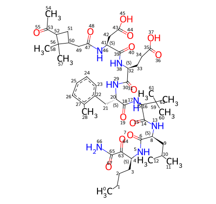 CCCC[C@H](NC(=O)[C@H](CC(C)C)NC(=O)[C@@H](NC(=O)[C@H](Cc1ccccc1C)NC(=O)[C@H](CCC(=O)O)NC(=O)[C@H](CC(=O)O)NC(=O)CC1CC(C(C)=O)C1(C)C)C(C)(C)C)C(=O)C(N)=O